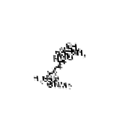 CNS(=O)(=O)N(C)CCCCc1cn(S(=O)(=O)N(C)C)cn1